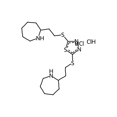 C1CCNC(CCSc2nnc(SCCC3CCCCCN3)s2)CC1.Cl.Cl